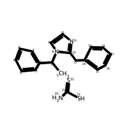 CC(c1ccccc1)n1ccnc1Cc1ccccc1.NC(=S)S